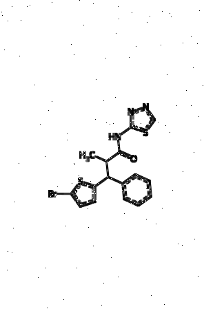 CC(C(=O)Nc1nncs1)C(c1ccccc1)c1ccc(Br)s1